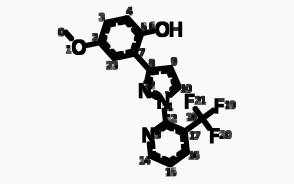 COc1ccc(O)c(-c2ccn(-c3ncccc3C(F)(F)F)n2)c1